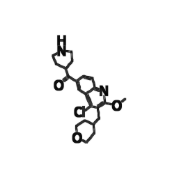 COc1nc2ccc(C(=O)C3CCNCC3)cc2c(Cl)c1CC1CCOCC1